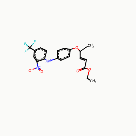 CCOC(=O)/C=C/C(C)Oc1ccc(Nc2ccc(C(F)(F)F)cc2[N+](=O)[O-])cc1